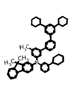 Cc1cc(-c2cccc(-c3cc(C4CCCCC4)cc(C4CCCCC4)c3)c2)cc(N(c2cccc(C3CCCCC3)c2)c2ccc3c(c2)C(C)(C)c2ccccc2-3)c1